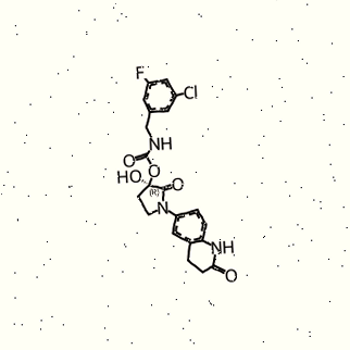 O=C1CCc2cc(N3CC[C@@](O)(OC(=O)NCc4cc(F)cc(Cl)c4)C3=O)ccc2N1